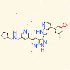 COc1cc(F)cc(-c2ccnc3[nH]c(-c4n[nH]c5ncc(-c6cncc(CNCC7CCCC7)c6)cc45)cc23)c1